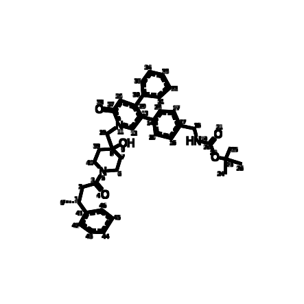 C[C@H](CC(=O)N1CCC(O)(Cn2cc(-c3ccc(CNC(=O)OC(C)(C)C)cc3)c(-c3ccccc3)cc2=O)CC1)c1ccccc1